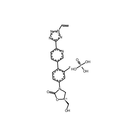 C=Cn1nnc(-c2ccc(-c3ccc(N4C[C@@H](CO)OC4=O)cc3F)cn2)n1.O=P(O)(O)O